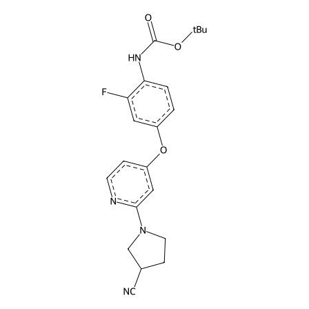 CC(C)(C)OC(=O)Nc1ccc(Oc2ccnc(N3CCC(C#N)C3)c2)cc1F